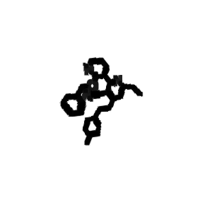 CCc1cc(C=Cc2ccc(C)cc2)c(C#N)c(-c2cccnc2OCc2ccccc2)n1